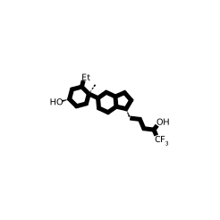 CCC1C[C@@H](O)CC[C@]1(C)C1CCC2C(CC[C@@H]2CCCC(O)C(F)(F)F)C1